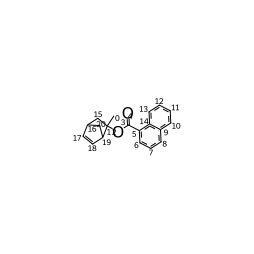 CC1(OC(=O)c2cccc3ccccc23)CC2C=CC1C2